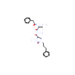 CC(C)[C@H](NC(=O)Cc1ccccc1)C(=O)NC(=O)C1CN(CCCc2ccccc2)C(=O)N1